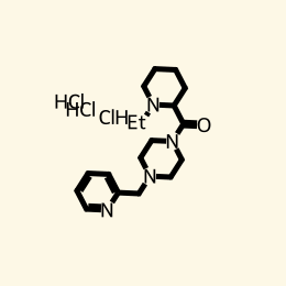 CCN1CCCCC1C(=O)N1CCN(Cc2ccccn2)CC1.Cl.Cl.Cl